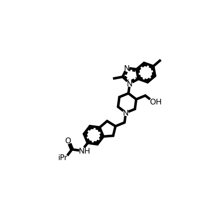 Cc1ccc2c(c1)nc(C)n2C1CCN(CC2Cc3ccc(NC(=O)C(C)C)cc3C2)CC1CO